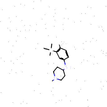 COc1ccc(NC2CCN(C)CC2)cc1[Si](C)(C)C